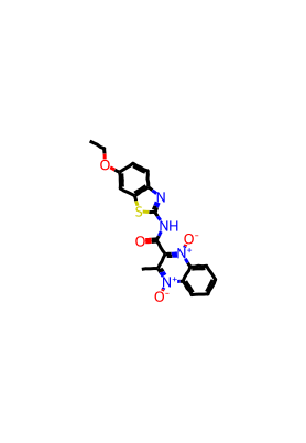 CCOc1ccc2nc(NC(=O)c3c(C)[n+]([O-])c4ccccc4[n+]3[O-])sc2c1